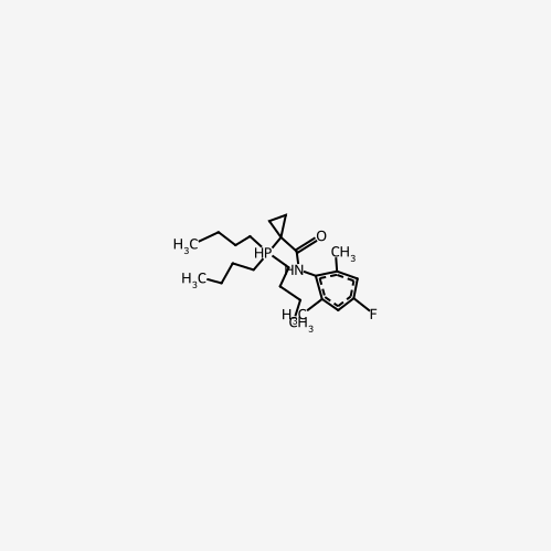 CCCC[PH](CCCC)(CCCC)C1(C(=O)Nc2c(C)cc(F)cc2C)CC1